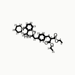 CCOC(=O)C(Cc1ccc(CC(=O)NC(C)c2ccccc2N2CCCCC2)cc1)C(=O)OCC